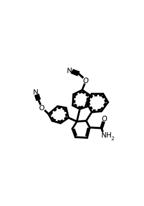 N#COc1ccc(C2(c3ccc(OC#N)cc3)C=CC=C(C(N)=O)C2c2ccccc2)cc1